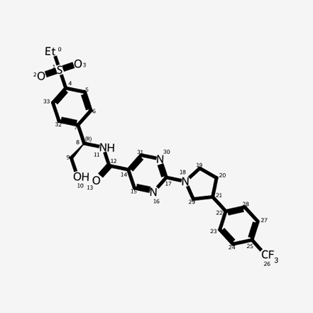 CCS(=O)(=O)c1ccc([C@H](CO)NC(=O)c2cnc(N3CCC(c4ccc(C(F)(F)F)cc4)C3)nc2)cc1